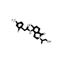 CC(CO)n1ccc2c(NC(=O)Cc3ccc(C(F)(F)F)cc3F)c(Cl)ccc2c1=O